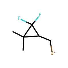 CC1(C)C(CBr)C1(F)F